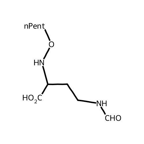 [CH2]CCCCONC(CCNC=O)C(=O)O